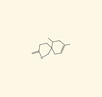 C=C1CCC2(CC=C(C)CC2C)CO1